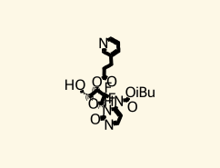 CC(C)COC(=O)Nc1ccnc(=O)n1[C@@H]1O[C@H](CO)[C@@H](OC(=O)CCc2cccnc2)C1(F)F